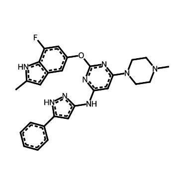 Cc1cc2cc(Oc3nc(Nc4cc(-c5ccccc5)[nH]n4)cc(N4CCN(C)CC4)n3)cc(F)c2[nH]1